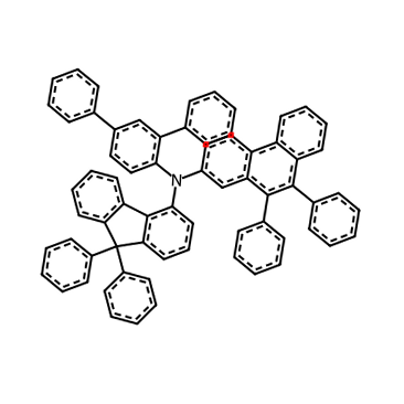 c1ccc(-c2ccc(N(c3ccc4c(c3)c(-c3ccccc3)c(-c3ccccc3)c3ccccc34)c3cccc4c3-c3ccccc3C4(c3ccccc3)c3ccccc3)c(-c3ccccc3)c2)cc1